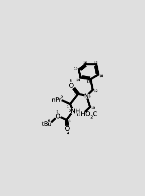 CCCC(NC(=O)OC(C)(C)C)C(=O)N(CC(=O)O)Cc1ccccc1